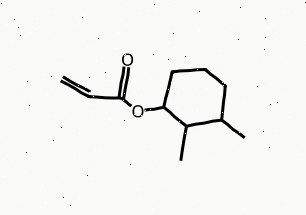 C=CC(=O)OC1CCCC(C)C1C